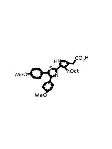 CCCCCCCCc1c(CC(=O)O)c[nH]c1-c1nc(-c2ccc(OC)cc2)c(-c2ccc(OC)cc2)s1